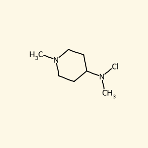 CN1CCC(N(C)Cl)CC1